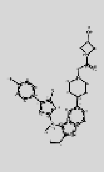 CCc1nc2ccc(C3CCN(CC(=O)N4CC(O)C4)CC3)cn2c1N(C)c1nc(-c2ccc(F)cc2)c(C)s1